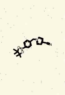 CC1(C)OB(c2ccc(C[n+]3ccc(C#N)cc3)cc2)OC1(C)C